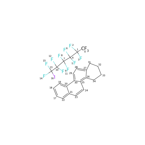 FC(F)(F)C(F)(F)C(F)(F)C(F)(F)C(F)(F)C(F)(F)I.c1ccc2c(c1)ccc1c3c(ccc12)CCCC3